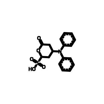 O=C1CC(N(c2ccccc2)c2ccccc2)CC(S(=O)(=O)O)O1